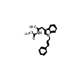 CC(C)(C)OC(=O)NC(C=O)Cc1cn(CC=Cc2ccccc2)c2ccccc12